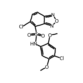 COc1cc(NS(=O)(=O)c2c(Cl)ccc3nonc23)c(OC)cc1Cl